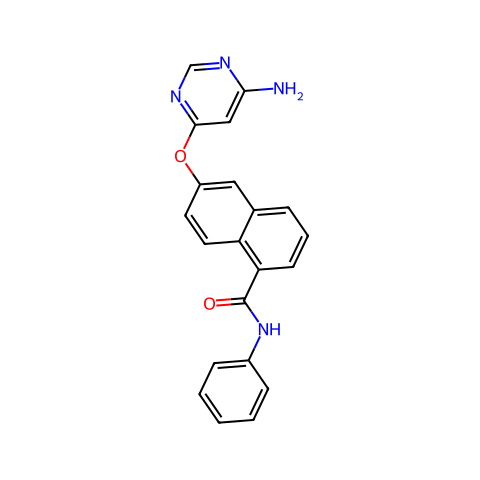 Nc1cc(Oc2ccc3c(C(=O)Nc4ccccc4)cccc3c2)ncn1